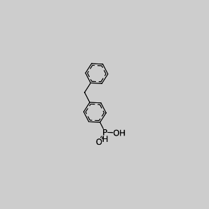 O=[PH](O)c1ccc(Cc2ccccc2)cc1